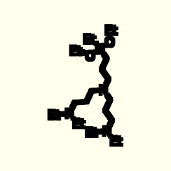 CCO[Si](CC)(CCCN(CCCN(CC)CC)CCCN(CC)CC)OCC